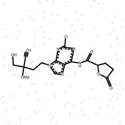 C#CC(CO)(CCn1cnc2c(NC(=O)C3CCC(=O)O3)nc(Cl)nc21)OC